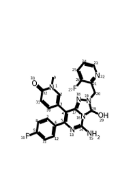 Cn1cc(C2=C(c3ccc(F)cc3)N=C(N)N3C2=NN(Cc2ncccc2F)C3O)ccc1=O